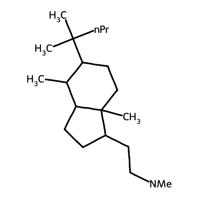 CCCC(C)(C)C1CCC2(C)C(CCNC)CCC2C1C